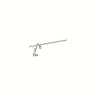 CCCCCCCCCCCCCCCC(=O)OC(CCCC)COCCO